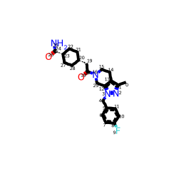 Cc1nn(Cc2ccc(F)cc2)c2c1CCN(C(=O)C[C@H]1CC[C@@H](C(N)=O)CC1)C2